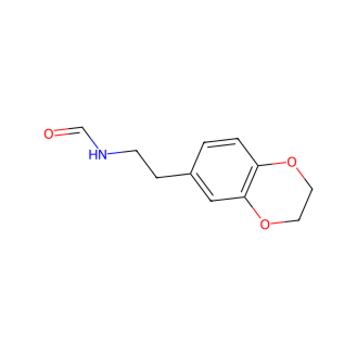 O=CNCCc1ccc2c(c1)OCCO2